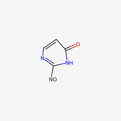 O=Nc1nccc(=O)[nH]1